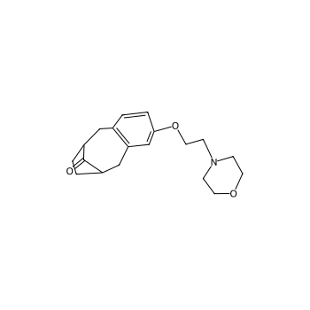 O=C1C2CCC1Cc1cc(OCCN3CCOCC3)ccc1C2